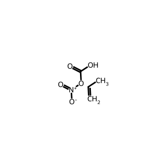 C=CC.O=C(O)O[N+](=O)[O-]